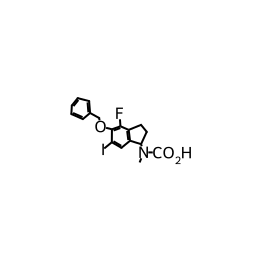 CN(C(=O)O)C1CCc2c1cc(I)c(OCc1ccccc1)c2F